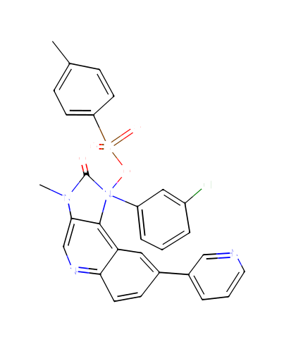 Cc1ccc(S(=O)(=O)O[N+]2(c3cccc(Cl)c3)C(=O)N(C)c3cnc4ccc(-c5cccnc5)cc4c32)cc1